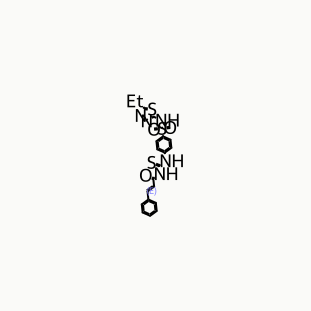 CCc1nnc(NS(=O)(=O)c2ccc(NC(=S)NC(=O)/C=C/c3ccccc3)cc2)s1